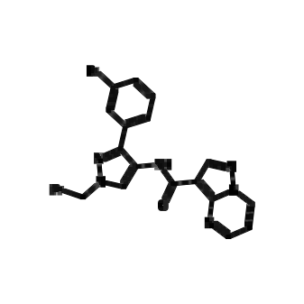 CC(C)Cn1cc(NC(=O)c2cnn3cccnc23)c(-c2cccc(Br)c2)n1